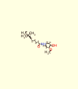 COc1cc(CNC(=O)CCCCC#CC(C)(C)C)ccc1O